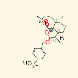 C[C@H]1[C@@H](OCc2ccc(C(=O)O)cc2)O[C@@H]2O[C@@]3(C)CCC4[C@H](C)CC[C@@H]1[C@]42OO3